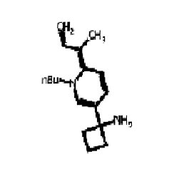 C=C/C(C)=C1/C=CC(C2(N)CCC2)=CN1CCCC